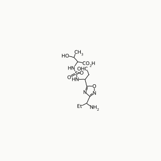 CCC(N)c1noc(C(CC=O)NS(=O)(=O)NC(C(=O)O)C(C)O)n1